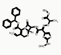 C=CC1=C(C(=O)OC(c2ccccc2)c2ccccc2)N2C(=O)C(NC(=O)C(=NOC(C)C(=O)OC(C)(C)C)c3csc(NC=O)n3)[C@@H]2SC1